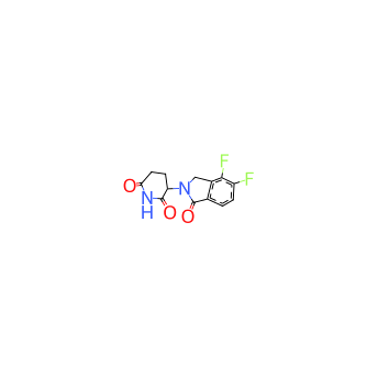 O=C1CCC(N2Cc3c(ccc(F)c3F)C2=O)C(=O)N1